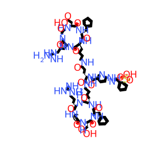 N=C(N)NCCC[C@@H]1NC(=O)[C@H](CCCCNC(=O)CC[C@H](NC(=O)c2ccc(N/N=C/c3ccccc3S(=O)(=O)O)nc2)C(=O)NCCCC[C@@H]2NC(=O)[C@@H](Cc3ccccc3)NC(=O)[C@H](CC(=O)O)NC(=O)CNC(=O)[C@H](CCCNC(=N)N)NC2=O)NC(=O)[C@@H](Cc2ccccc2)NC(=O)[C@H](CC(=O)O)NC(=O)CNC1=O